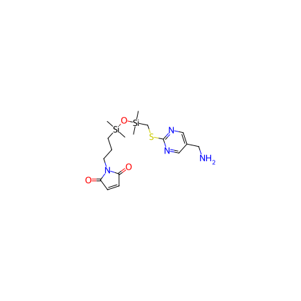 C[Si](C)(CCCN1C(=O)C=CC1=O)O[Si](C)(C)CSc1ncc(CN)cn1